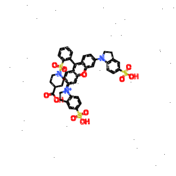 O=C(O)C1CCN(S(=O)(=O)c2ccccc2-c2c3cc/c(=[N+]4\CCc5cc(S(=O)(=O)O)ccc54)cc-3oc3cc(N4CCc5cc(S(=O)(=O)O)ccc54)ccc23)CC1